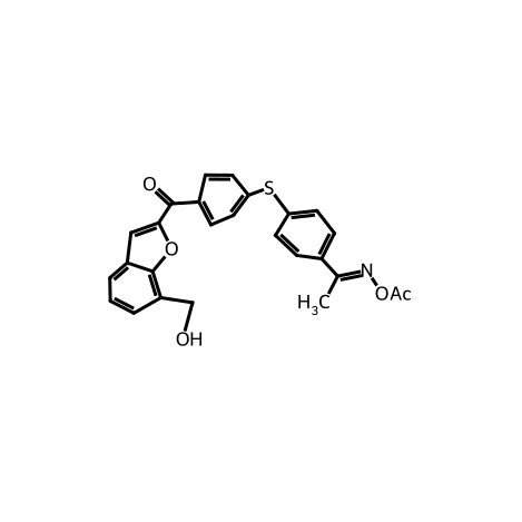 CC(=O)O/N=C(\C)c1ccc(Sc2ccc(C(=O)c3cc4cccc(CO)c4o3)cc2)cc1